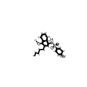 CCCCCc1cc(NS(=O)(=O)c2ccc(Br)cc2)c2ccccc2c1OC